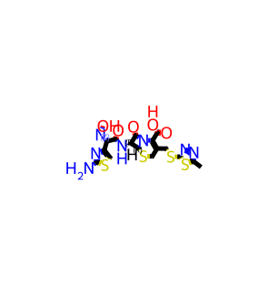 Cc1nnc(SCC2=C(C(=O)O)N3C(=O)[C@@H](NC(=O)/C(=N\O)c4csc(N)n4)[C@H]3SC2)s1